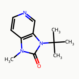 Cn1c(=O)n(C(C)(C)C)c2cnccc21